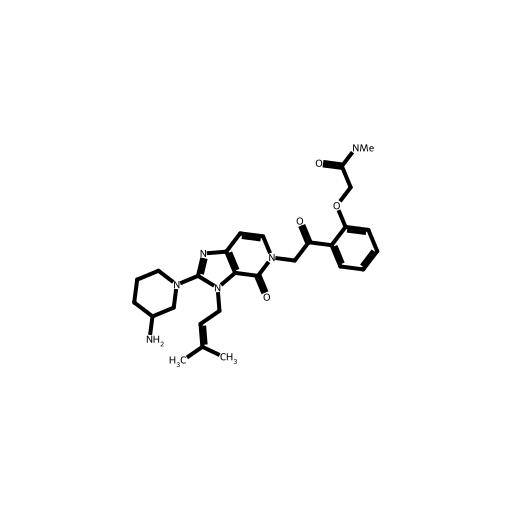 CNC(=O)COc1ccccc1C(=O)Cn1ccc2nc(N3CCCC(N)C3)n(CC=C(C)C)c2c1=O